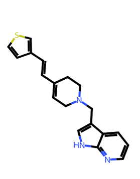 C(=Cc1ccsc1)C1=CCN(Cc2c[nH]c3ncccc23)CC1